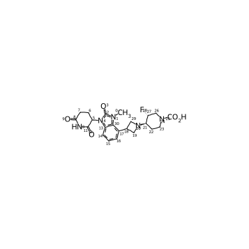 Cn1c(=O)n(C2CCC(=O)NC2=O)c2cccc(C3CN([C@@H]4CCN(C(=O)O)C[C@H]4F)C3)c21